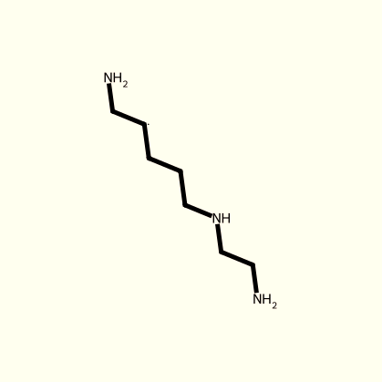 NC[CH]CCCNCCN